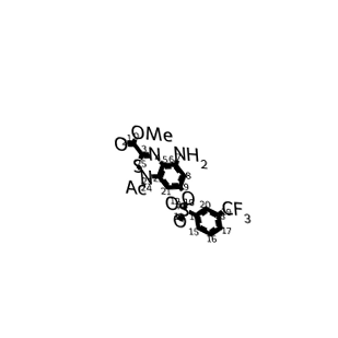 COC(=O)C1=Nc2c(N)cc(OS(=O)(=O)c3cccc(C(F)(F)F)c3)cc2N(C(C)=O)S1